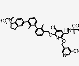 Cc1c(COc2nc(OCc3cncc(C#N)c3)c(CN[C@@](C)(CO)C(=O)O)cc2Cl)cccc1-c1cccc(-c2ccc3c(c2)CC[C@@]3(CO)N(C)C)c1C